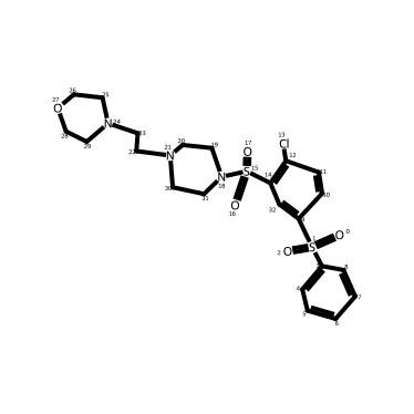 O=S(=O)(c1ccccc1)c1ccc(Cl)c(S(=O)(=O)N2CCN(CCN3CCOCC3)CC2)c1